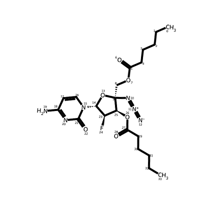 CCCCCC(=O)OC[C@@]1(N=[N+]=[N-])O[C@@H](n2ccc(N)nc2=O)[C@H](F)[C@@H]1OC(=O)CCCCC